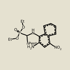 CCCCCC(Nc1c(N)cc([N+](=O)[O-])c2ccccc12)P(=O)(OCC)OCC